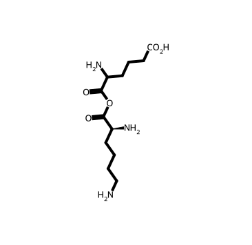 NCCCC[C@H](N)C(=O)OC(=O)C(N)CCCC(=O)O